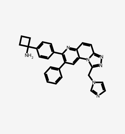 NC1(c2ccc(-c3nc4ccc5nnc(Cn6ccnc6)n5c4cc3-c3ccccc3)cc2)CCC1